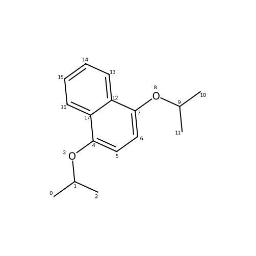 CC(C)Oc1ccc(OC(C)C)c2ccccc12